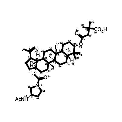 C=C(C)[C@@H]1CC[C@]2(CC(=O)N3CC[C@H](NC(C)=O)C3)CC[C@]3(C)[C@H](CC[C@@H]4[C@@]5(C)CC[C@H](OC(=O)CC(C)(C)C(=O)O)C(C)(C)[C@@H]5CC[C@]43C)[C@@H]12